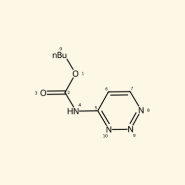 CCCCOC(=O)Nc1ccnnn1